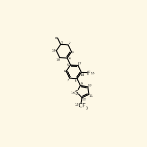 CC1CC=C(c2ccc(-c3ccc(C(F)(F)F)s3)c(F)c2)CC1